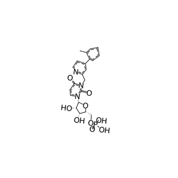 Cc1ccccc1-c1ccnc(Cn2c(=O)ccn([C@@H]3O[C@H](COP(=O)(O)O)[C@H](O)[C@@H]3O)c2=O)c1